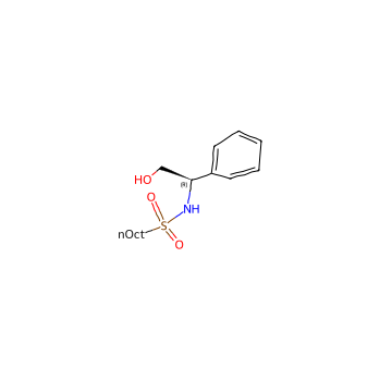 CCCCCCCCS(=O)(=O)N[C@@H](CO)c1ccccc1